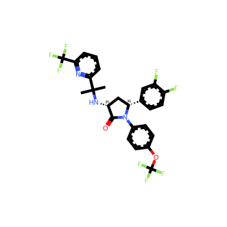 CC(C)(N[C@@H]1C[C@H](c2ccc(F)c(F)c2)N(c2ccc(OC(F)(F)F)cc2)C1=O)c1cccc(C(F)(F)F)n1